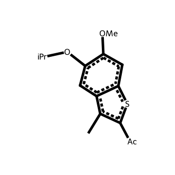 COc1cc2sc(C(C)=O)c(C)c2cc1OC(C)C